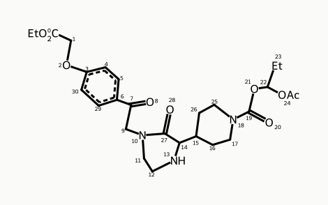 CCOC(=O)COc1ccc(C(=O)CN2CCNC(C3CCN(C(=O)OC(CC)OC(C)=O)CC3)C2=O)cc1